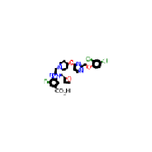 O=C(O)c1cc(F)c2nc(CN3CCC(Oc4ccnc(COc5ccc(Cl)cc5Cl)n4)CC3)n(C[C@@H]3CCO3)c2c1